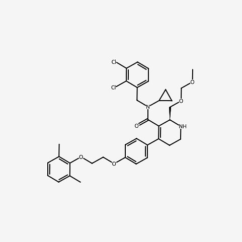 COCOC[C@H]1NCCC(c2ccc(OCCOc3c(C)cccc3C)cc2)=C1C(=O)N(Cc1cccc(Cl)c1Cl)C1CC1